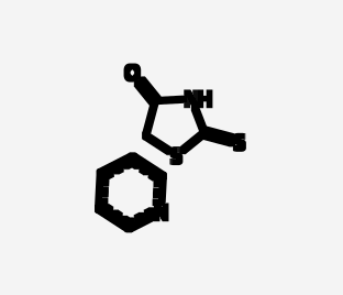 O=C1CSC(=S)N1.c1ccncc1